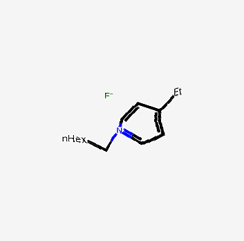 CCCCCCC[n+]1ccc(CC)cc1.[F-]